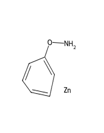 NOc1ccccc1.[Zn]